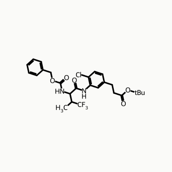 CC(C(NC(=O)OCc1ccccc1)C(=O)Nc1cc(CCC(=O)OC(C)(C)C)ccc1Cl)C(F)(F)F